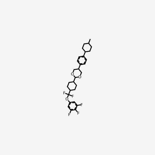 CC1CCC(c2ccc(C3COC(C4CCC(C(F)(F)Oc5cc(F)c(F)c(F)c5)CC4)OC3)cc2)CC1